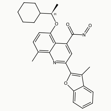 Cc1c(-c2cc(C(=O)N=O)c3c(O[C@H](C)C4CCCCC4)ccc(C)c3n2)oc2ccccc12